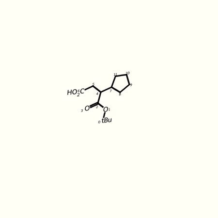 CC(C)(C)OC(=O)C(CC(=O)O)C1CCCC1